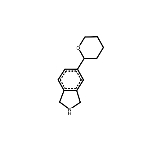 c1cc2c(cc1C1CCCCO1)CNC2